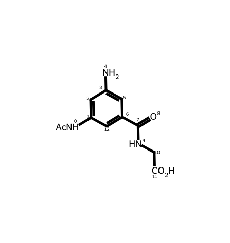 CC(=O)Nc1cc(N)cc(C(=O)NCC(=O)O)c1